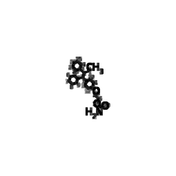 CCC(=C(c1ccccc1)c1ccc(OCCOC(N)=O)cc1)c1ccccc1